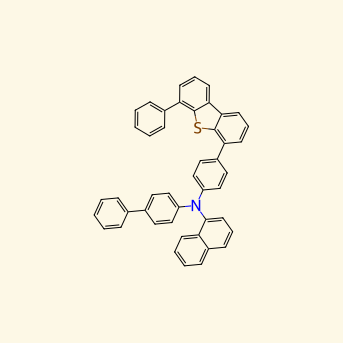 c1ccc(-c2ccc(N(c3ccc(-c4cccc5c4sc4c(-c6ccccc6)cccc45)cc3)c3cccc4ccccc34)cc2)cc1